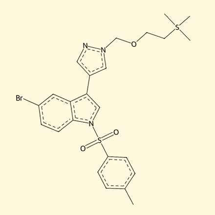 Cc1ccc(S(=O)(=O)n2cc(-c3cnn(COCCS(C)(C)C)c3)c3cc(Br)ccc32)cc1